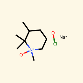 CC1CCC[N+](C)([O-])C1(C)C.[Na+].[O-]Cl